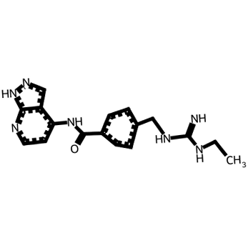 CCNC(=N)NCc1ccc(C(=O)Nc2ccnc3[nH]ncc23)cc1